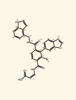 O=C(O)/C=C\NC(=O)c1ccc(C(=O)NCc2cccc3[nH]ccc23)c(-c2ccc3ncsc3c2)c1Br